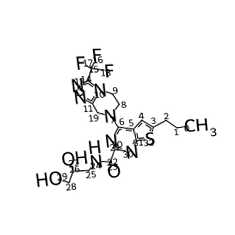 CCCc1cc2c(N3CCn4c(nnc4C(F)(F)F)C3)nc(C(=O)NCC(O)CO)nc2s1